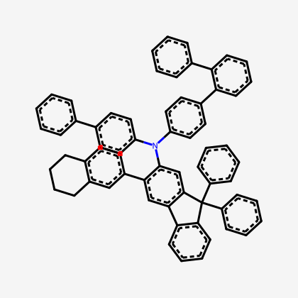 c1ccc(-c2ccc(N(c3ccc(-c4ccccc4-c4ccccc4)cc3)c3cc4c(cc3-c3ccc5c(c3)CCCC5)-c3ccccc3C4(c3ccccc3)c3ccccc3)cc2)cc1